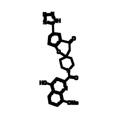 COc1cccc2c(O)cc(C(=O)N3CCC4(CC3)CC(=O)c3cc(-c5nnn[nH]5)ccc3O4)nc12